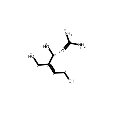 NC(N)=O.OCC=C(CO)CO